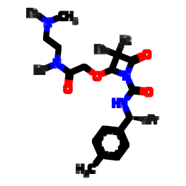 CCC[C@@H](NC(=O)N1C(=O)C(CC)(CC)C1OCC(=O)N(CC)CCN(C)CC)c1ccc(C)cc1